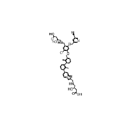 Cc1c(COc2cc(OCc3cncc(C#N)c3)c(CNCC(O)CC(=O)O)cc2Cl)cccc1-c1cccc(-c2ccn3cc(CNCC(O)CC(=O)O)nc3c2)c1C